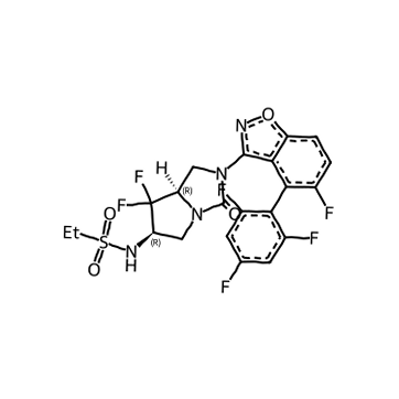 CCS(=O)(=O)N[C@@H]1CN2C(=O)N(c3noc4ccc(F)c(-c5c(F)cc(F)cc5F)c34)C[C@@H]2C1(F)F